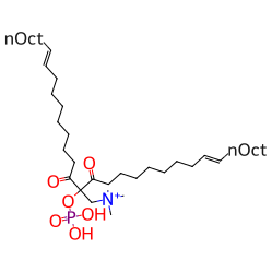 CCCCCCCCC=CCCCCCCCC(=O)C(C[N+](C)(C)C)(OP(=O)(O)O)C(=O)CCCCCCCC=CCCCCCCCC